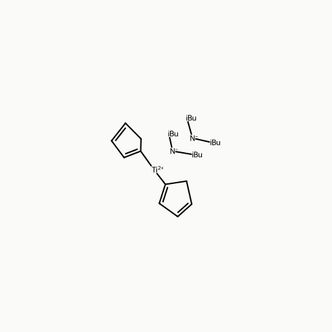 C1=CC[C]([Ti+2][C]2=CC=CC2)=C1.CCC(C)[N-]C(C)CC.CCC(C)[N-]C(C)CC